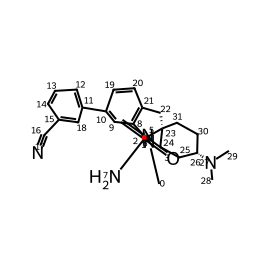 CN1C(=O)C2(N=C1N)c1cc(-c3cccc(C#N)c3)ccc1C[C@]21CC[C@@H](N(C)C)CC1